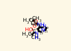 CC(C)[C@H](CO)Nc1cc(NC(=O)OC(C)(C)C)c2nccn2c1